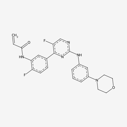 C=CC(=O)Nc1cc(-c2nc(Nc3cccc(N4CCOCC4)c3)ncc2F)ccc1F